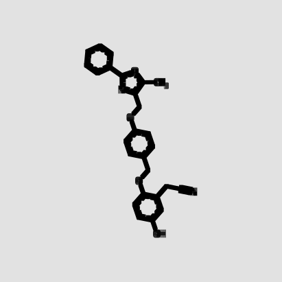 Cc1oc(-c2ccccc2)nc1COc1ccc(COc2ccc(O)cc2CC#N)cc1